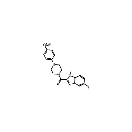 COc1ccc(N2CCN(C(=O)c3nc4cc(F)ccc4[nH]3)CC2)cc1